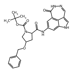 CC(C)(C)OC(=O)N1CC(OCc2ccccc2)CC1C(=O)Nc1cc2c3c(c[nH]c3c1)C=NNC2=O